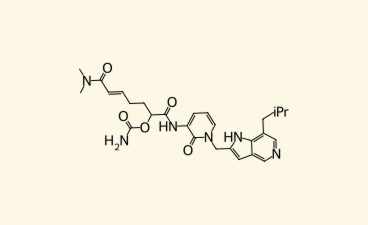 CC(C)Cc1cncc2cc(Cn3cccc(NC(=O)C(CCC=CC(=O)N(C)C)OC(N)=O)c3=O)[nH]c12